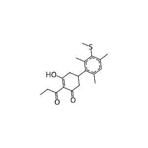 CCC(=O)C1=C(O)CC(c2c(C)cc(C)c(SC)c2C)CC1=O